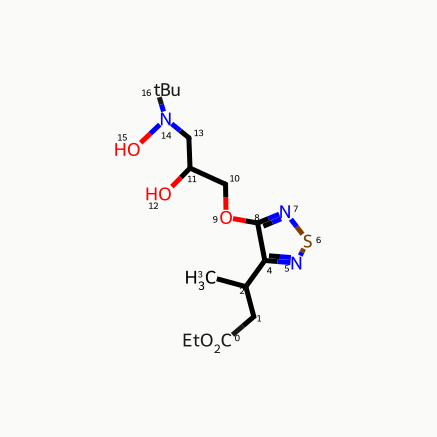 CCOC(=O)CC(C)c1nsnc1OCC(O)CN(O)C(C)(C)C